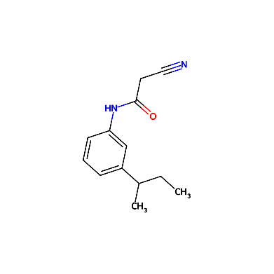 CCC(C)c1cccc(NC(=O)CC#N)c1